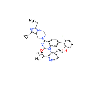 C=Cc1nc(C2CC2)c2n1CCN(c1nc(=O)n(-c3c(C)ccnc3C(C)C)c3cc(-c4c(O)cccc4F)ccc13)C2